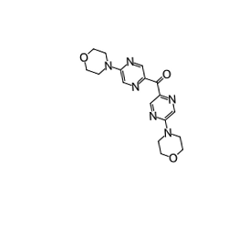 O=C(c1cnc(N2CCOCC2)cn1)c1cnc(N2CCOCC2)cn1